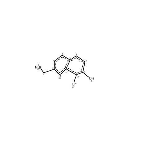 BCc1ccc2ccc(O)c(Br)c2n1